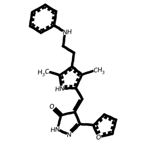 Cc1[nH]c(C=C2C(=O)NN=C2c2ccco2)c(C)c1CCNc1ccccc1